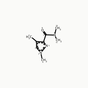 Cc1cn(C)nc1C(=O)N(C)C